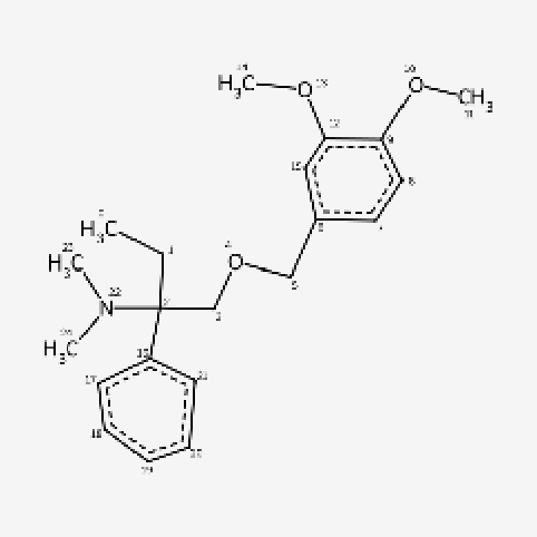 CCC(COCc1ccc(OC)c(OC)c1)(c1ccccc1)N(C)C